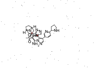 CS(=O)(=O)c1c([C@@H]2C[C@H]3CC[C@@H](C2)N3C(=O)c2nnc[nH]2)nc2c(-c3ccc(C4CCCN4)nc3)cnn2c1N